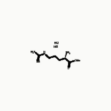 COC(=O)[C@@H](N)CCCNC(=N)N.Cl.Cl